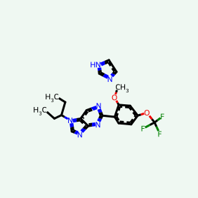 CCC(CC)n1cnc2nc(-c3ccc(OC(F)(F)F)cc3OC)ncc21.c1c[nH]cn1